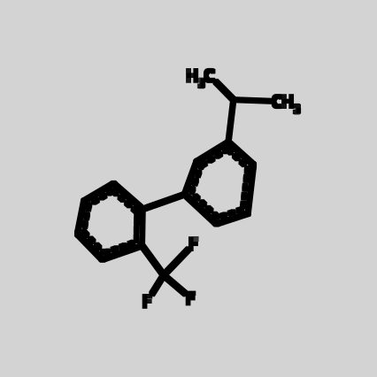 CC(C)c1cccc(-c2ccccc2C(F)(F)F)c1